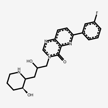 O=c1c2nc(-c3cccc(F)c3)ccc2ncn1CC(O)CC1NCCC[C@@H]1O